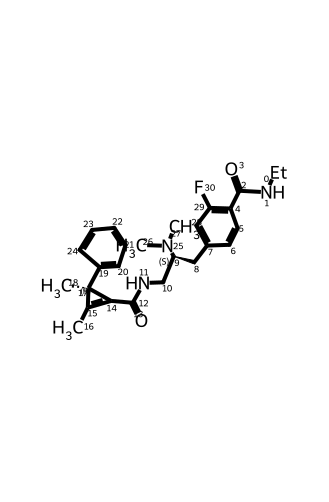 CCNC(=O)c1ccc(C[C@@H](CNC(=O)C2=C(C)[C@@]2(C)c2ccccc2)N(C)C)cc1F